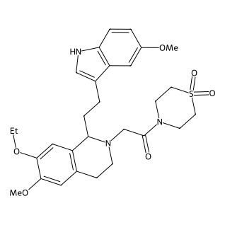 CCOc1cc2c(cc1OC)CCN(CC(=O)N1CCS(=O)(=O)CC1)C2CCc1c[nH]c2ccc(OC)cc12